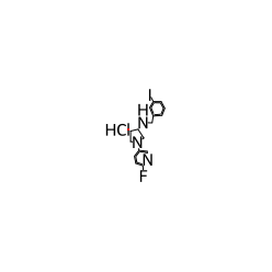 Cl.Fc1ccc(N2CCC(NCc3cccc(I)c3)C2)cn1